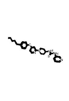 CCCCCc1ccc(Oc2ccnc(N3CCC(NC(=S)Nc4cccnc4)CC3)c2)cc1